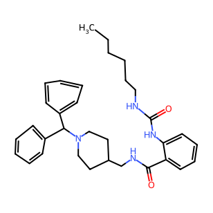 CCCCCCNC(=O)Nc1ccccc1C(=O)NCC1CCN(C(c2ccccc2)c2ccccc2)CC1